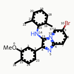 COc1cc(-c2nc3ccc(Br)cn3c2Nc2c(C)cccc2C)ccc1C